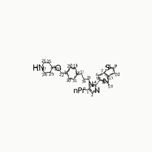 CCCc1cnc(-c2cc3sccc3n2C)n1CCCc1ccc(COC2CCNCC2)cc1